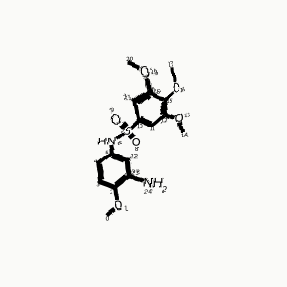 COc1ccc(NS(=O)(=O)c2cc(OC)c(OC)c(OC)c2)cc1N